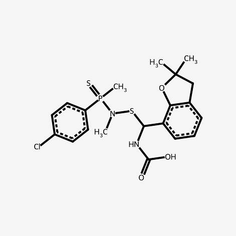 CN(SC(NC(=O)O)c1cccc2c1OC(C)(C)C2)P(C)(=S)c1ccc(Cl)cc1